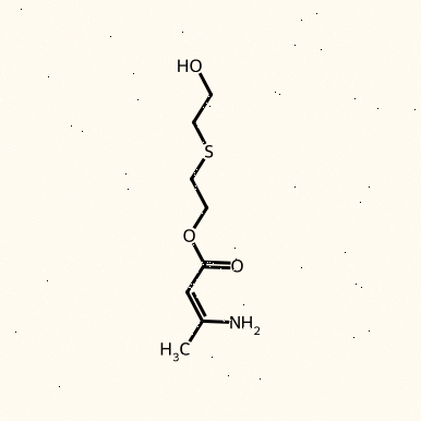 C/C(N)=C/C(=O)OCCSCCO